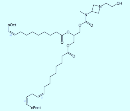 CCCCC/C=C\C/C=C\CCCCCCCC(=O)OCC(COC(=O)N(C)C1CN(CCO)C1)OC(=O)CCCCCCC/C=C\CCCCCCCC